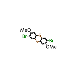 COc1cc2c(cc1Br)Sc1cc(OC)c(Br)cc1S2